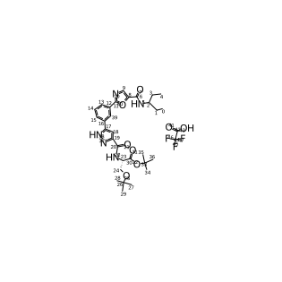 CCC(CC)NC(=O)c1cnc(-c2cccc(-c3cc(C(=O)N[C@@H](COC(C)(C)C)C(=O)OC(C)(C)C)n[nH]3)c2)o1.O=C(O)C(F)(F)F